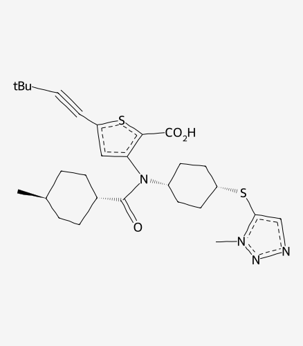 Cn1nncc1S[C@H]1CC[C@@H](N(c2cc(C#CC(C)(C)C)sc2C(=O)O)C(=O)[C@H]2CC[C@H](C)CC2)CC1